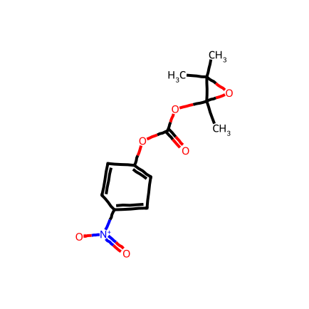 CC1(C)OC1(C)OC(=O)Oc1ccc([N+](=O)[O-])cc1